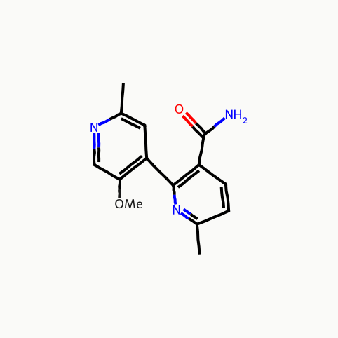 COc1cnc(C)cc1-c1nc(C)ccc1C(N)=O